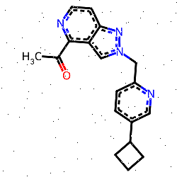 CC(=O)c1nccc2nn(Cc3ccc(C4CCC4)cn3)cc12